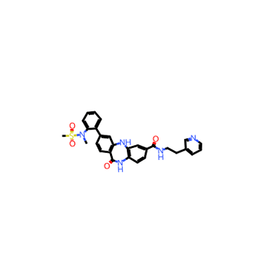 CN(c1ccccc1-c1ccc2c(c1)Nc1cc(C(=O)NCCc3cccnc3)ccc1NC2=O)S(C)(=O)=O